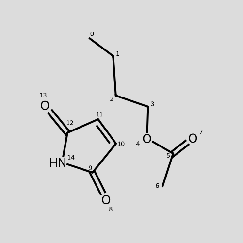 CCCCOC(C)=O.O=C1C=CC(=O)N1